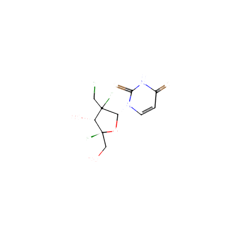 OC[C@@]1(F)O[C@@H](n2ccc(=S)[nH]c2=S)C(F)(CF)[C@H]1O